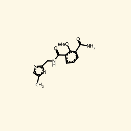 COc1c(C(N)=O)cccc1C(=O)NCc1nc(C)cs1